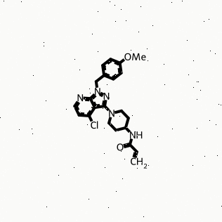 C=CC(=O)NC1CCN(c2nn(Cc3ccc(OC)cc3)c3nccc(Cl)c23)CC1